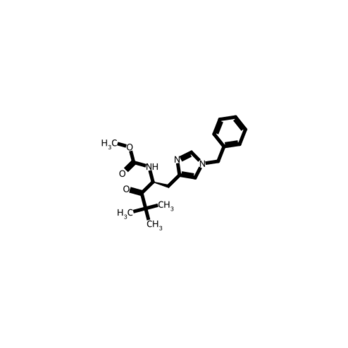 COC(=O)N[C@@H](Cc1cn(Cc2ccccc2)cn1)C(=O)C(C)(C)C